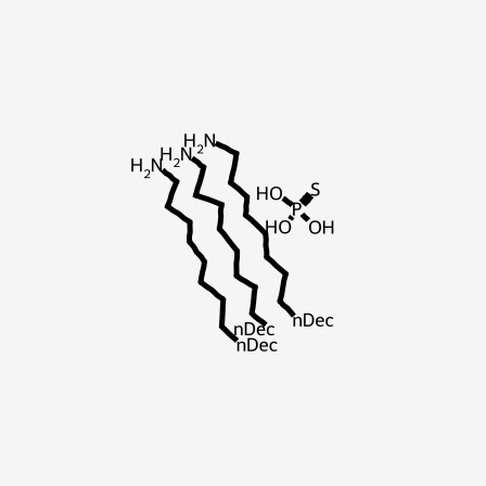 CCCCCCCCCCCCCCCCCCN.CCCCCCCCCCCCCCCCCCN.CCCCCCCCCCCCCCCCCCN.OP(O)(O)=S